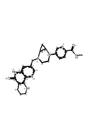 CNC(=O)c1ccc(N2CCN(Cc3cnc4c5c(c(=O)[nH]c4c3)CCCN5)C3CC32)cn1